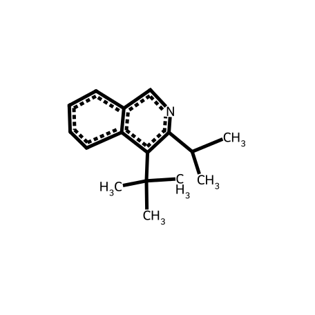 CC(C)c1ncc2ccccc2c1C(C)(C)C